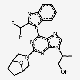 CC(CO)n1cnc2c(-n3c(C(F)F)nc4ccccc43)nc(N3CC4CCC(C3)O4)nc21